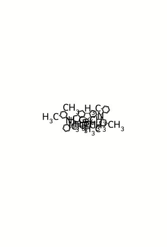 Cc1cc(C)cc(N(c2ccc3c(c2)C([Si](C)(C)C)([Si](C)(C)C)c2c-3ccc3cc(N(c4cc(C)cc(C)c4)c4ccccc4C)ccc23)c2ccccc2C)c1